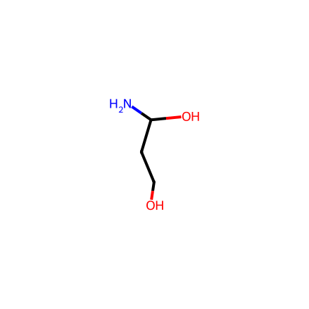 NC(O)CCO